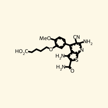 COc1ccc(-c2c(C#N)c(N)nc3sc(C(N)=O)c(N)c23)cc1OCCCCC(=O)O